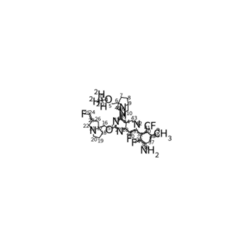 [2H]C([2H])([2H])OCC12CCC(CN(c3nc(OC[C@@]45CCCN4C/C(=C\F)C5)nc4c(F)c(-c5c(F)c(N)cc(C)c5C(F)(F)F)ncc34)C1)N2